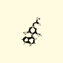 CC1CN(CC(=O)O)CC(C)N1c1ncnc2sccc12